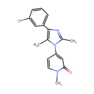 Cc1nc(-c2cccc(Cl)c2)c(C)n1-c1ccn(C)c(=O)c1